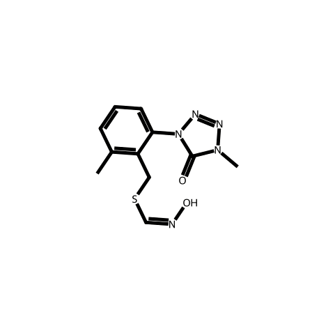 Cc1cccc(-n2nnn(C)c2=O)c1CS/C=N\O